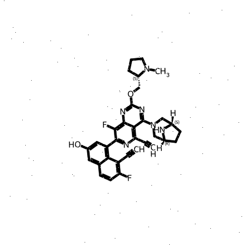 C#Cc1c(F)ccc2cc(O)cc(-c3nc(C#C)c4c(N5C[C@H]6CC[C@@H](C5)N6)nc(OC[C@@H]5CCCN5C)nc4c3F)c12